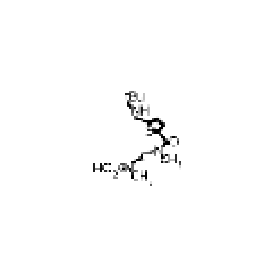 CN(CCCN(C)C(=O)c1ccc(CNCC(C)(C)C)s1)C(=O)O